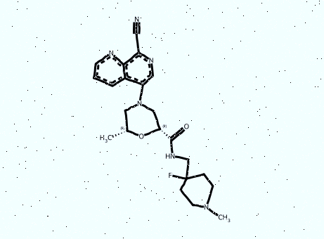 C[C@@H]1CN(c2cnc(C#N)c3ncccc23)C[C@H](C(=O)NCC2(F)CCN(C)CC2)O1